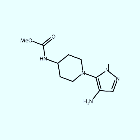 COC(=O)NC1CCN(c2[nH]ncc2N)CC1